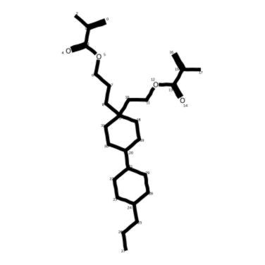 C=C(C)C(=O)OCCCC1(CCOC(=O)C(=C)C)CCC(C2CCC(CCC)CC2)CC1